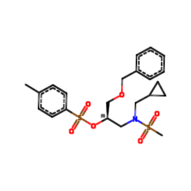 Cc1ccc(S(=O)(=O)O[C@@H](COCc2ccccc2)CN(CC2CC2)S(C)(=O)=O)cc1